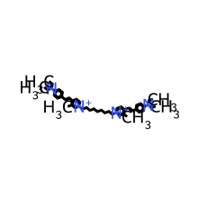 CCN(CC)c1ccc(/C=C/c2cc[n+](CCCCCCCCC[n+]3ccc(/C=C/c4ccc(N(CC)CC)cc4)c(C)c3)cc2C)cc1